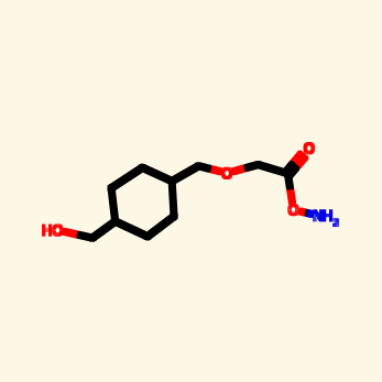 NOC(=O)COCC1CCC(CO)CC1